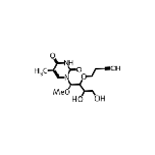 C#CCCOC(C(O)CO)[C@@H](OC)n1cc(C)c(=O)[nH]c1=O